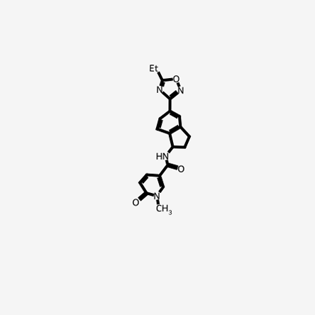 CCc1nc(-c2ccc3c(c2)CCC3NC(=O)c2ccc(=O)n(C)c2)no1